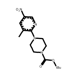 Cc1cc([N+](=O)[O-])cnc1N1CCN(C(=O)OC(C)(C)C)CC1